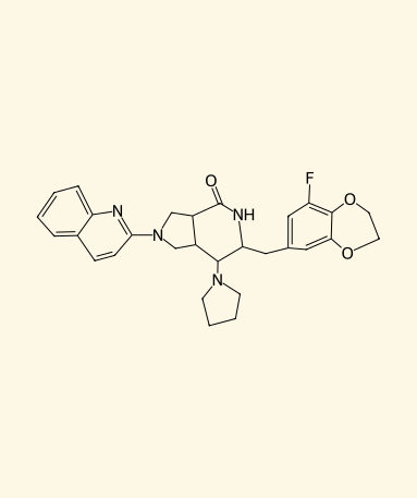 O=C1NC(Cc2cc(F)c3c(c2)OCCO3)C(N2CCCC2)C2CN(c3ccc4ccccc4n3)CC12